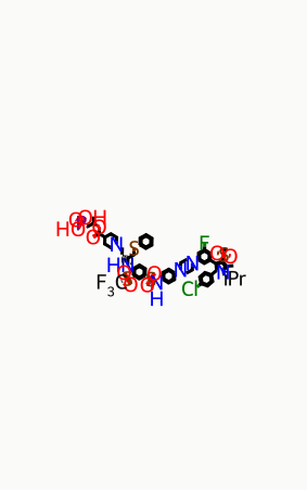 Cc1c(S(C)(=O)=O)c(-c2cc(F)cc(N3CCN(c4ccc(NS(=O)(=O)c5ccc(N[C@H](CCN6CCC(C(=O)OC(C)CP(=O)(O)O)CC6)CSc6ccccc6)c(S(=O)(=O)C(F)(F)F)c5)cc4)CC3)c2)c(-c2ccc(Cl)cc2)n1C(C)C